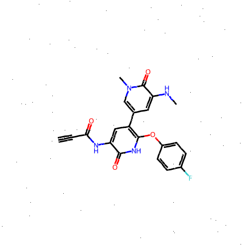 C#CC(=O)Nc1cc(-c2cc(NC)c(=O)n(C)c2)c(Oc2ccc(F)cc2)[nH]c1=O